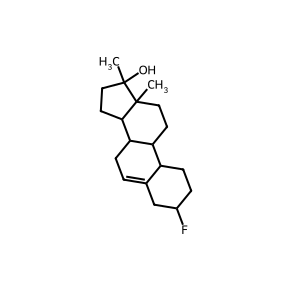 CC1(O)CCC2C3CC=C4CC(F)CCC4C3CCC21C